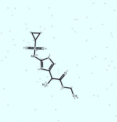 CCOC(=O)C(C)c1csc(NS(=O)(=O)C2CC2)n1